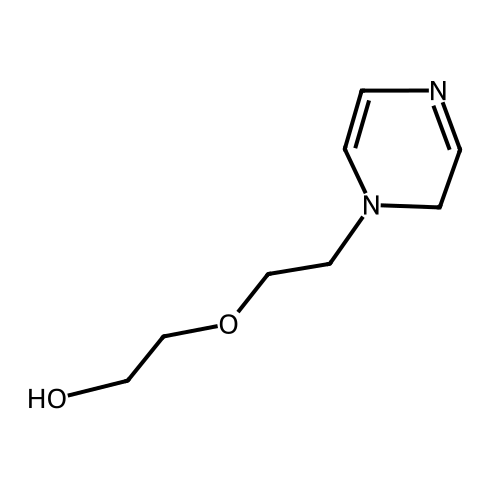 OCCOCCN1C=CN=CC1